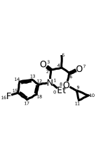 CCN(C(=O)C(C)C(=O)OC1CC1)c1ccc(F)cc1